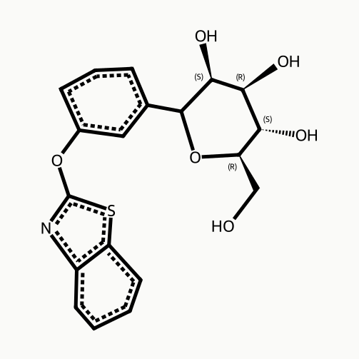 OC[C@H]1OC(c2cccc(Oc3nc4ccccc4s3)c2)[C@@H](O)[C@@H](O)[C@@H]1O